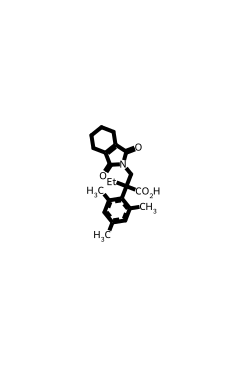 CCC(CN1C(=O)C2=C(CCCC2)C1=O)(C(=O)O)c1c(C)cc(C)cc1C